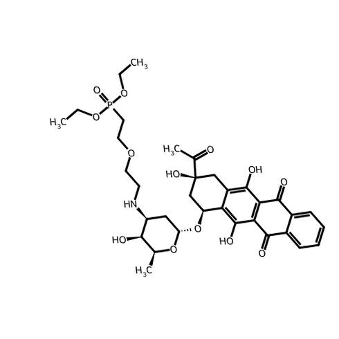 CCOP(=O)(CCOCCN[C@H]1C[C@H](O[C@H]2C[C@](O)(C(C)=O)Cc3c(O)c4c(c(O)c32)C(=O)c2ccccc2C4=O)O[C@@H](C)[C@H]1O)OCC